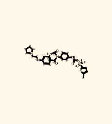 Cc1ccc(S(=O)(=O)NC(=O)Nc2ccc(-n3c(=O)[nH]c4cc(NCCN5CCCC5)ccc4c3=O)cc2)s1